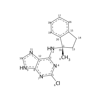 C[C@]1(Nc2nc(Cl)nc3[nH]cnc23)CCc2ccccc21